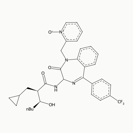 CCCC[C@H](O)[C@@H](CC1CC1)C(=O)NC1N=C(c2ccc(C(F)(F)F)cc2)c2ccccc2N(Cc2cccc[n+]2[O-])C1=O